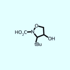 CC(C)(C)C1C(O)CON1C(=O)O